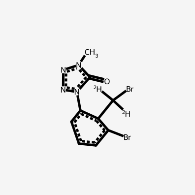 [2H]C([2H])(Br)c1c(Br)cccc1-n1nnn(C)c1=O